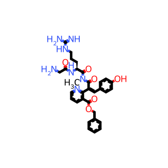 CN(C(=O)C(=Cc1ccc(O)cc1)c1ncccc1C(=O)OCc1ccccc1)C(=O)[C@H](CCCNC(=N)N)NC(=O)CN